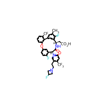 Cc1cc2cc(c1F)[C@@H](CC(=O)O)NC(=O)[C@H](n1cc(CCN3CC(F)C3)c(C(F)(F)F)cc1=O)c1cc(ccc1F)Oc1cccc(C(F)(F)F)c1-2